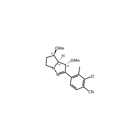 CO[C@@H]1C(c2ccc(C#N)c(Cl)c2C)=NN2CC[C@@H](OC)[C@@H]12